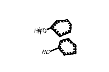 Oc1ccccc1.Oc1ccccc1.[HH]